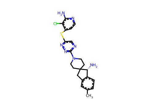 Cc1ccc2c(c1)CC1(CCN(c3ncc(Sc4ccnc(N)c4Cl)nn3)CC1)[C@@H]2N